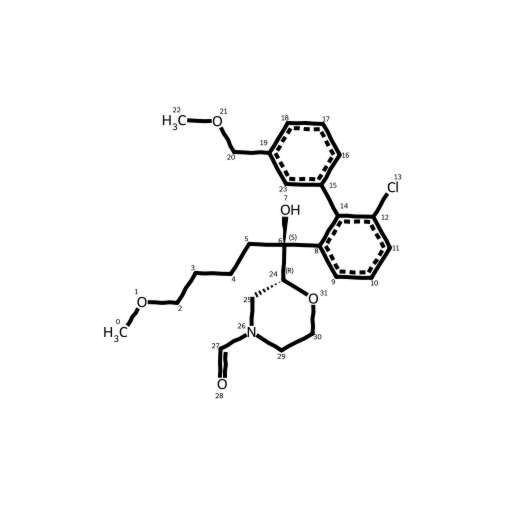 COCCCC[C@](O)(c1cccc(Cl)c1-c1cccc(COC)c1)[C@H]1CN(C=O)CCO1